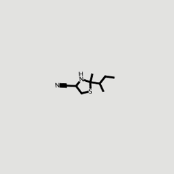 CCC(C)C1(C)NC(C#N)CS1